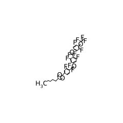 CCCCCC1COC(c2ccc(C(F)(F)Oc3cc(F)c(C(F)(F)Oc4cc(F)c(OC(F)=C(F)F)c(F)c4)c(F)c3)c(F)c2)OC1